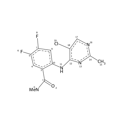 CNC(=O)c1cc(F)c(F)cc1Nc1nc(C)ncc1Cl